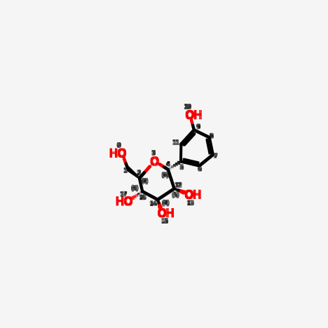 OC[C@H]1O[C@H](c2cccc(O)c2)[C@@H](O)[C@@H](O)[C@@H]1O